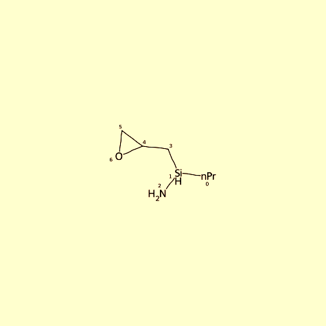 CCC[SiH](N)CC1CO1